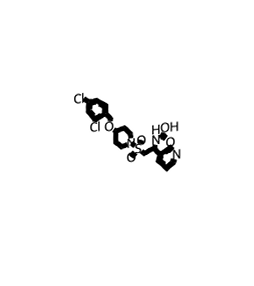 O=C(O)NC(CS(=O)(=O)N1CCC(OCc2ccc(Cl)cc2Cl)CC1)c1cccnc1